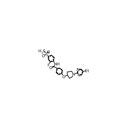 CCc1cnc(N2CCC(Oc3ccc(C(=O)Nc4ccc(S(C)(=O)=O)cc4F)cc3)CC2)nc1